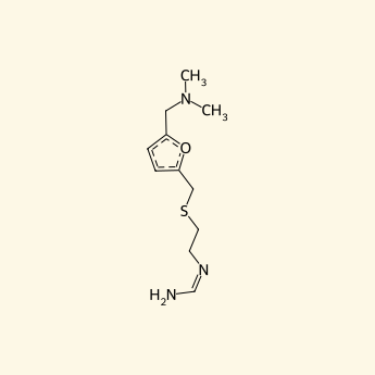 CN(C)Cc1ccc(CSCC/N=C\N)o1